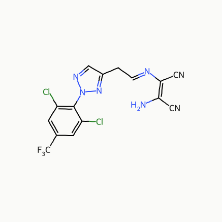 N#CC(N)=C(C#N)N=CCc1cnn(-c2c(Cl)cc(C(F)(F)F)cc2Cl)n1